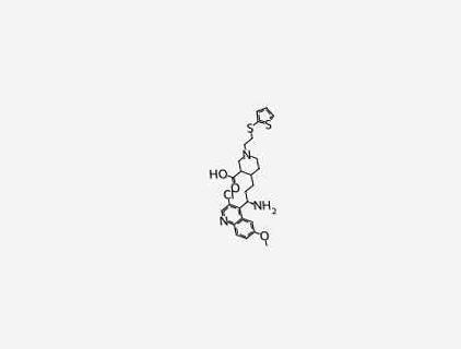 COc1ccc2ncc(Cl)c([C@H](N)CCC3CCN(CCSc4cccs4)CC3C(=O)O)c2c1